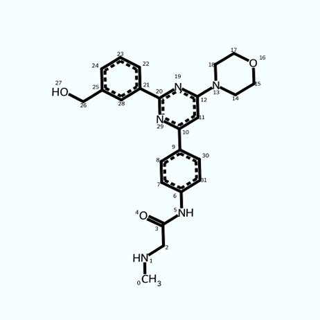 CNCC(=O)Nc1ccc(-c2cc(N3CCOCC3)nc(-c3cccc(CO)c3)n2)cc1